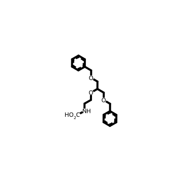 O=C(O)NCCOC(COCc1ccccc1)COCc1ccccc1